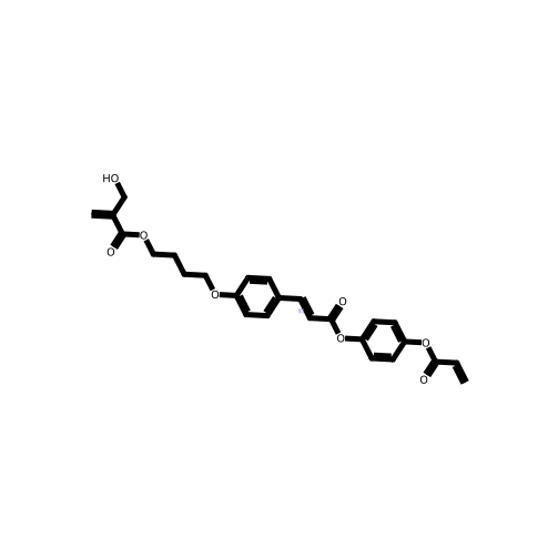 C=CC(=O)Oc1ccc(OC(=O)/C=C/c2ccc(OCCCCOC(=O)C(=C)CO)cc2)cc1